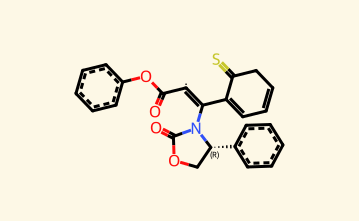 O=C([C]=C(C1=CC=CCC1=S)N1C(=O)OC[C@H]1c1ccccc1)Oc1ccccc1